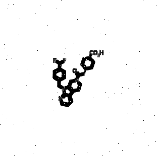 O=C(C[C@H]1CC[C@H](C(=O)O)CC1)N1CCc2c(n(Cc3ccc(C(F)F)cc3)c3ncccc23)C1